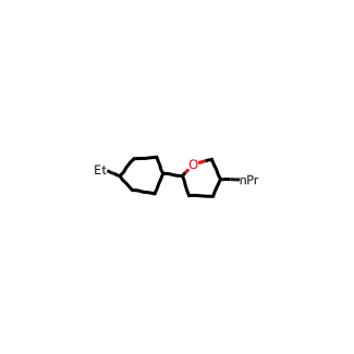 CCCC1CCC(C2CCC(CC)CC2)OC1